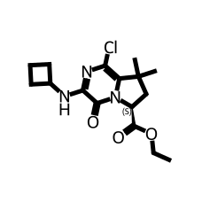 CCOC(=O)[C@@H]1CC(C)(C)c2c(Cl)nc(NC3CCC3)c(=O)n21